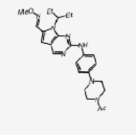 CCC(CC)n1c(/C=N/OC)cc2cnc(Nc3ccc(N4CCN(C(C)=O)CC4)cc3)nc21